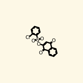 O=C1C=C(OS(=O)(=O)c2ccccc2Cl)C(=O)c2ccccc21